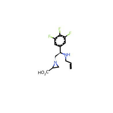 C=CCN[C@@H](C[N@]1CC1C(=O)O)c1cc(F)c(F)c(F)c1